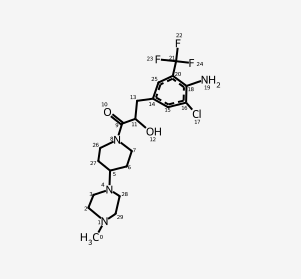 CN1CCN(C2CCN(C(=O)C(O)Cc3cc(Cl)c(N)c(C(F)(F)F)c3)CC2)CC1